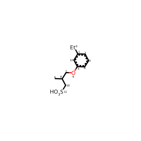 CCc1cccc(OCC(C)CS(=O)(=O)O)c1